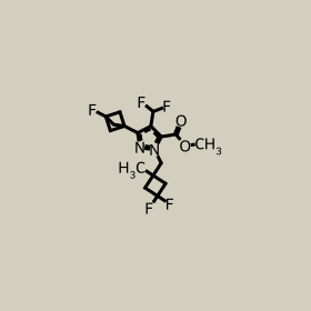 COC(=O)c1c(C(F)F)c(C23CC(F)(C2)C3)nn1CC1(C)CC(F)(F)C1